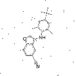 Cc1cc(C(C)(C)C)cc(C)c1Nc1coc2ccc(C#N)cc12